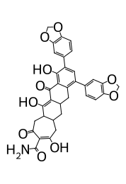 NC(=O)C1=C(O)CC2CC3Cc4c(-c5ccc6c(c5)OCO6)cc(-c5ccc6c(c5)OCO6)c(O)c4C(=O)C3=C(O)C2CC1=O